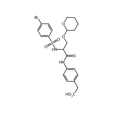 O=C(O)Cc1ccc(NC(=O)C(COC2CCCCO2)NS(=O)(=O)c2ccc(Br)cc2)cc1